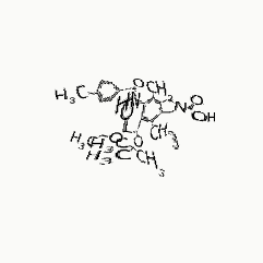 CCOC(=O)C(OC(C)(C)C)c1c(C)c2c(c(C)c1NC(=O)c1ccc(C)cc1)CN(C(=O)O)C2